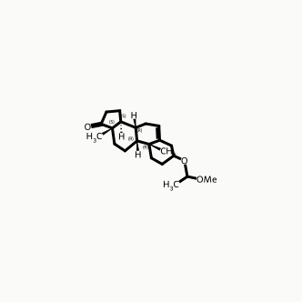 COC(C)OC1CC[C@@]2(C)C(=CC[C@@H]3[C@H]2CC[C@]2(C)C(=O)CC[C@@H]32)C1